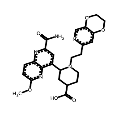 COc1ccc2nc(C(N)=O)cc(C3CC(C(=O)O)CCN3CCc3cc4c(cn3)OCCO4)c2n1